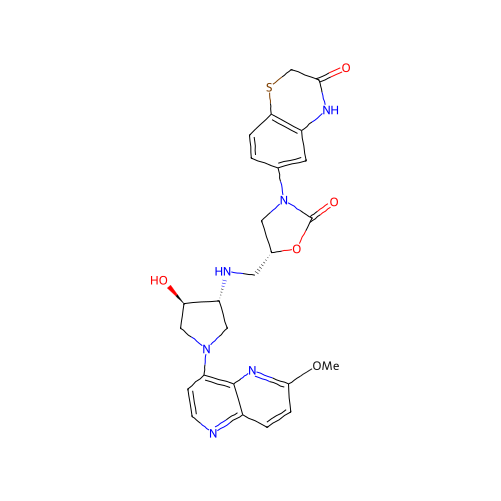 COc1ccc2nccc(N3C[C@@H](O)[C@H](NC[C@@H]4CN(c5ccc6c(c5)NC(=O)CS6)C(=O)O4)C3)c2n1